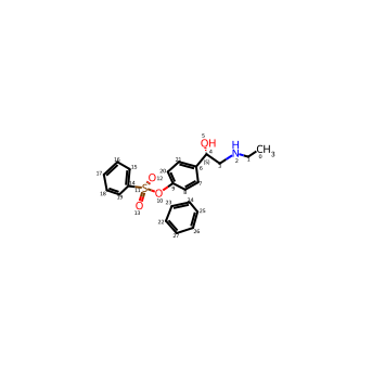 CCNC[C@@H](O)c1ccc(OS(=O)(=O)c2ccccc2)cc1.c1ccccc1